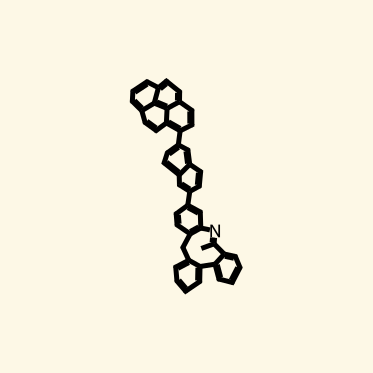 C/C1=N\c2cc(-c3ccc4cc(-c5ccc6ccc7cccc8ccc5c6c78)ccc4c3)ccc2Cc2ccccc2-c2ccccc21